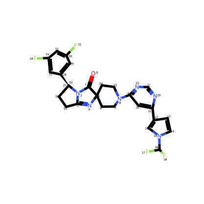 O=C1N2C(=NC13CCN(c1cc(-c4ccn(C(F)F)c4)ncn1)CC3)CC[C@H]2c1cc(F)cc(F)c1